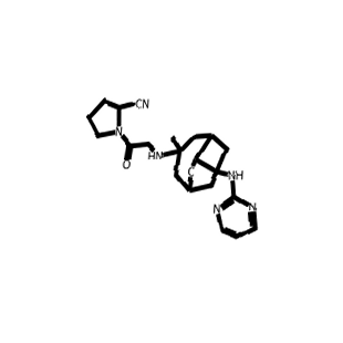 CC1(NCC(=O)N2CCCC2C#N)CC2CC3C(C1)CC3(Nc1ncccn1)C2